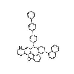 c1ccc(-c2ccc(-c3ccc(N(c4ccc(-c5cccc6ccccc56)cc4)c4cc5ncccc5c5oc6ccccc6c45)cc3)cc2)cc1